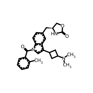 Cc1ccccc1C(=O)n1cc(C2CC(N(C)C)C2)c2cc(C[C@H]3COC(=O)N3)ccc21